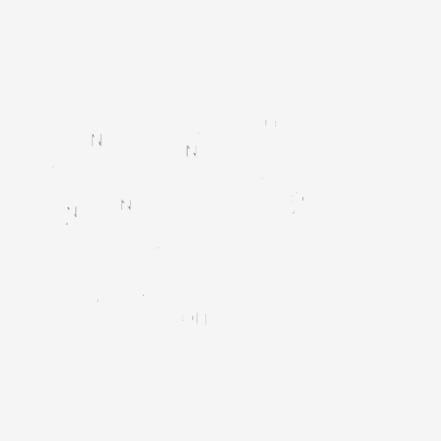 CC(C)(C)OC(=O)c1cc(C(=O)O)n2ncnc2n1